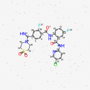 N=C(c1ccc(C(=O)Nc2ccc(F)cc2C(=O)Nc2ccc(Cl)cn2)c(F)c1)N1CCS(=O)(=O)CC1